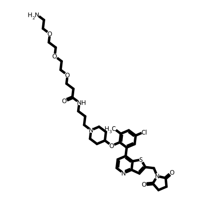 Cc1cc(Cl)cc(-c2ccnc3cc(CN4C(=O)CCC4=O)sc23)c1OC1CCN(CCCNC(=O)CCOCCOCCOCCN)CC1